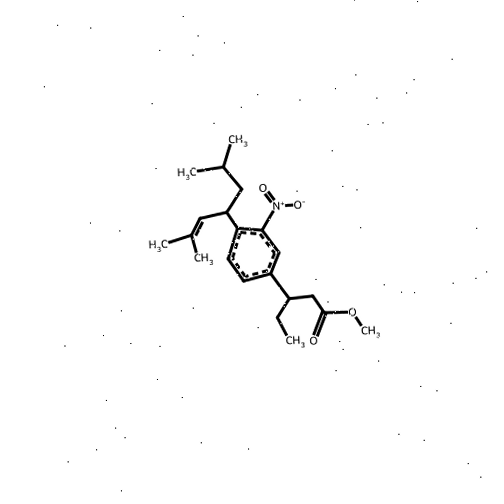 CCC(CC(=O)OC)c1ccc(C(C=C(C)C)CC(C)C)c([N+](=O)[O-])c1